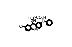 CC(=O)O.CC(C)c1ccc(Cl)cc1C(C#N)c1cccc(Oc2ccccc2)c1